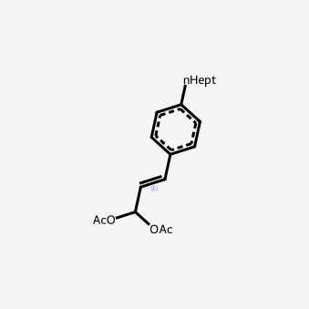 CCCCCCCc1ccc(/C=C/C(OC(C)=O)OC(C)=O)cc1